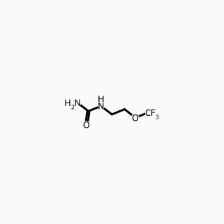 NC(=O)NCCOC(F)(F)F